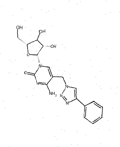 Nc1nc(=O)n([C@@H]2O[C@H](CO)C(O)[C@@H]2O)cc1Cn1cc(-c2ccccc2)nn1